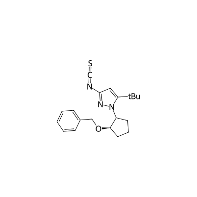 CC(C)(C)c1cc(N=C=S)nn1C1CCC[C@H]1OCc1ccccc1